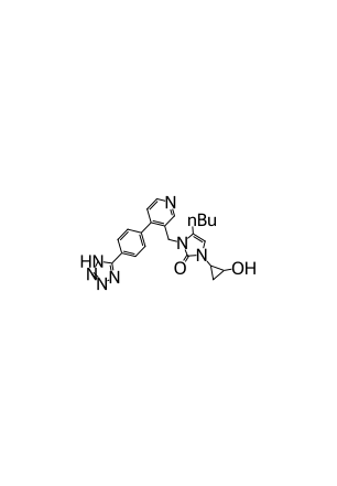 CCCCc1cn(C2CC2O)c(=O)n1Cc1cnccc1-c1ccc(-c2nnn[nH]2)cc1